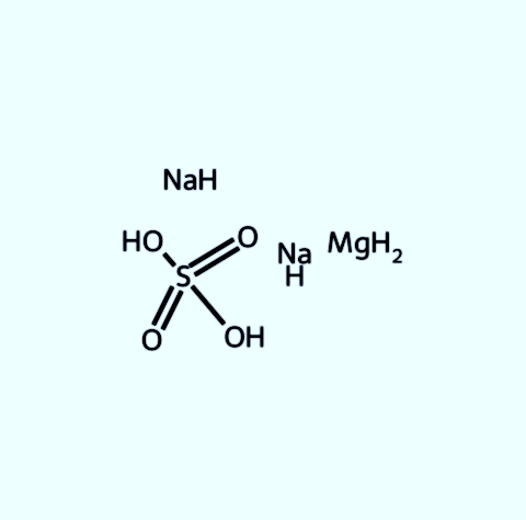 O=S(=O)(O)O.[MgH2].[NaH].[NaH]